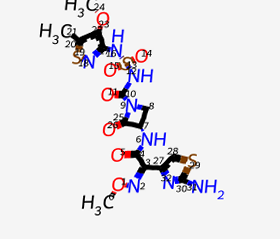 CO/N=C(\C(=O)N[C@H]1CN(C(=O)NS(=O)(=O)Nc2nsc(C)c2OC)C1=O)c1csc(N)n1